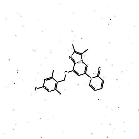 Cc1cc(F)cc(C)c1COc1cc(-n2ccccc2=O)cn2c(C)c(C)nc12